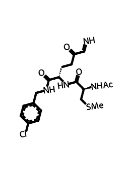 CSC[C@H](NC(C)=O)C(=O)N[C@@H](CCC(=O)C=N)C(=O)NCc1ccc(Cl)cc1